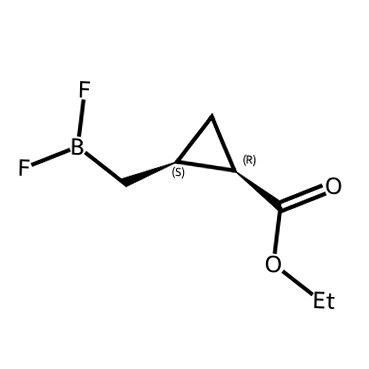 CCOC(=O)[C@@H]1C[C@@H]1CB(F)F